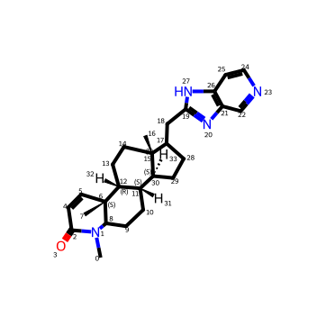 CN1C(=O)C=C[C@@]2(C)C1CC[C@@H]1[C@H]2CC[C@]2(C)C(Cc3nc4cnccc4[nH]3)CC[C@@H]12